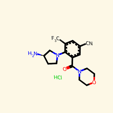 Cl.N#Cc1cc(C(=O)N2CCOCC2)c(N2CC[C@@H](N)C2)c(C(F)(F)F)c1